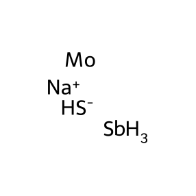 [Mo].[Na+].[SH-].[SbH3]